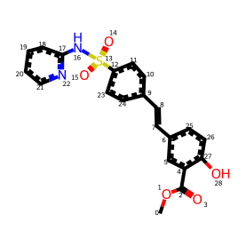 COC(=O)c1cc(/C=C/c2ccc(S(=O)(=O)Nc3ccccn3)cc2)ccc1O